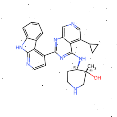 C[C@@]1(O)CNCC[C@H]1Nc1nc(-c2ccnc3[nH]c4ccccc4c23)nc2cncc(C3CC3)c12